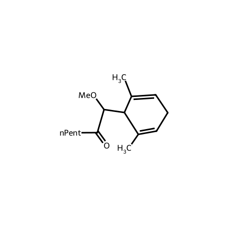 CCCCCC(=O)C(OC)C1C(C)=CCC=C1C